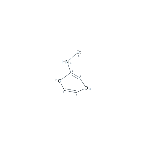 CCNC1=COC=CO1